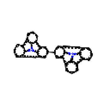 c1cc2c3cccc4c5cc(-c6cc7c8cccc9c%10cccc%11c(c6)c7n(c98)c%10%11)cc6c(c1)c2n(c34)c65